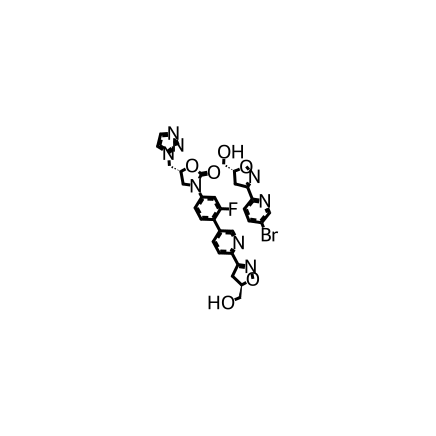 O=C1O[C@@H](Cn2ccnn2)CN1c1ccc(-c2ccc(C3=NO[C@@H](CO)C3)nc2)c(F)c1.OC[C@H]1CC(c2ccc(Br)cn2)=NO1